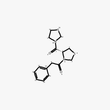 O=C([C@@H]1CSCN1C(=O)Cc1ccccc1)N1CCSC1